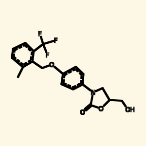 Cc1cccc(C(F)(F)F)c1COc1ccc(N2CC(CO)OC2=O)cc1